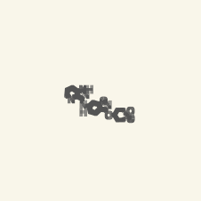 O=S1(=O)CCC(Oc2noc3cc(Nc4n[nH]c5cccnc45)ccc23)CC1